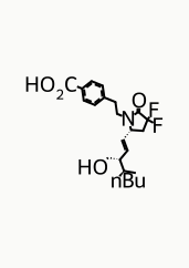 CCCC[C@H](C)[C@@H](/C=C/[C@H]1CC(F)(F)C(=O)N1CCc1ccc(C(=O)O)cc1)CO